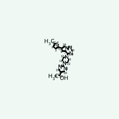 Cc1ccc(-c2cc3c(N4CCN(c5ncc(C(C)O)cn5)CC4)ncnn3c2)s1